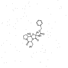 CC(C)CC1C(=O)N2CCCC2C2(O)OC(NC(=O)OCc3ccccc3)(C(C)C)C(=O)N12